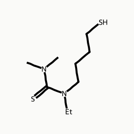 CCN(CCCCS)C(=S)N(C)C